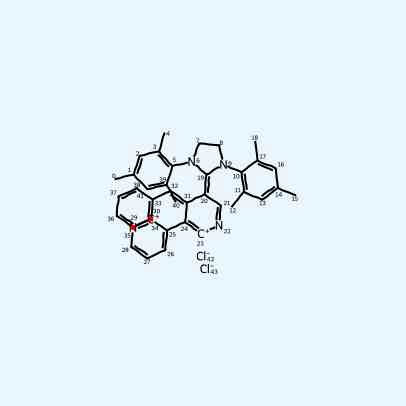 Cc1cc(C)c(N2CCN(c3c(C)cc(C)cc3C)C2=C2C=N[C+]=C(C3=CC=CN=[C+]3)C2=Cc2ccccc2)c(C)c1.[Cl-].[Cl-]